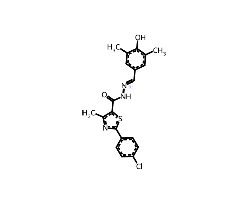 Cc1cc(/C=N/NC(=O)c2sc(-c3ccc(Cl)cc3)nc2C)cc(C)c1O